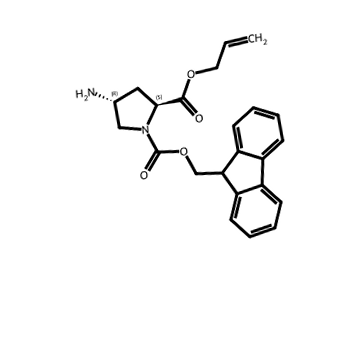 C=CCOC(=O)[C@@H]1C[C@@H](N)CN1C(=O)OCC1c2ccccc2-c2ccccc21